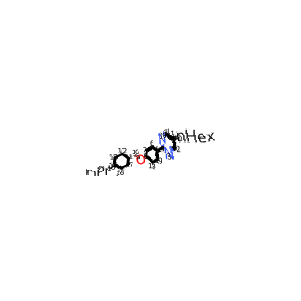 CCCCCCc1cnc(-c2ccc(OC[C@H]3CC[C@H](CCC)CC3)cc2)nc1